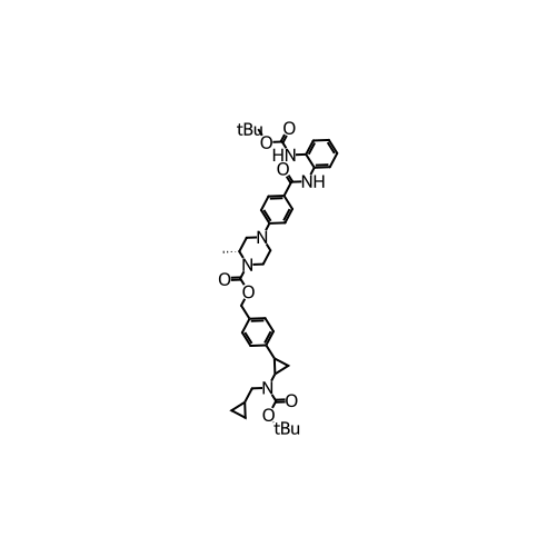 C[C@@H]1CN(c2ccc(C(=O)Nc3ccccc3NC(=O)OC(C)(C)C)cc2)CCN1C(=O)OCc1ccc(C2CC2N(CC2CC2)C(=O)OC(C)(C)C)cc1